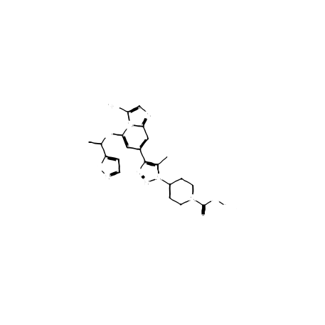 Cc1c(-c2cc(OC(C)c3ccns3)n3c(C#N)cnc3c2)nnn1C1CCN(C(=O)OC(C)(C)C)CC1